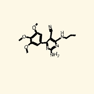 CCCNc1nc(N)nc(-c2cc(OC)c(OC)c(OC)c2)c1C#N